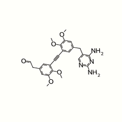 COc1cc(CC=O)cc(C#Cc2cc(Cc3cnc(N)nc3N)cc(OC)c2OC)c1OC